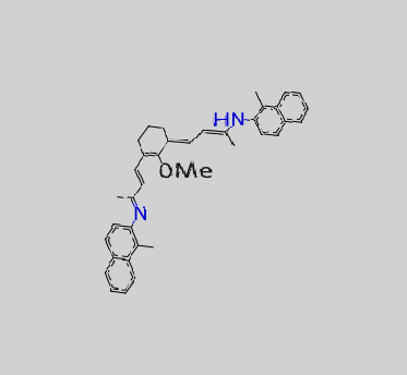 COC1=C(/C=C/C(C)=N/c2ccc3ccccc3c2C)CCC/C1=C\C=C(/C)Nc1ccc2ccccc2c1C